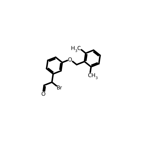 Cc1cccc(C)c1COc1cccc(C(Br)C=O)c1